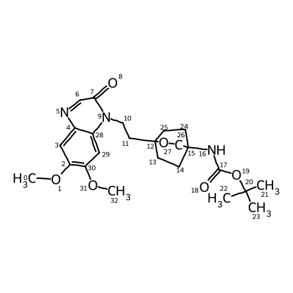 COc1cc2ncc(=O)n(CCC34CCC(NC(=O)OC(C)(C)C)(CC3)CO4)c2cc1OC